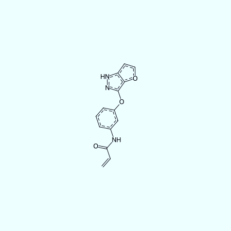 C=CC(=O)Nc1cccc(Oc2n[nH]c3ccoc23)c1